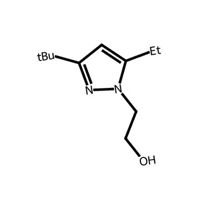 CCc1cc(C(C)(C)C)nn1CCO